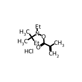 C=C(C)C(=O)ON(CC)C(C)(C)CC.Cl